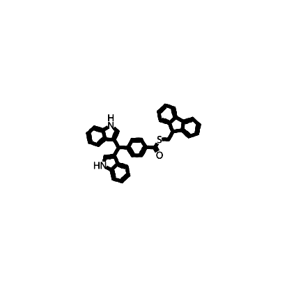 O=C(SCC1c2ccccc2-c2ccccc21)c1ccc(C(c2c[nH]c3ccccc23)c2c[nH]c3ccccc23)cc1